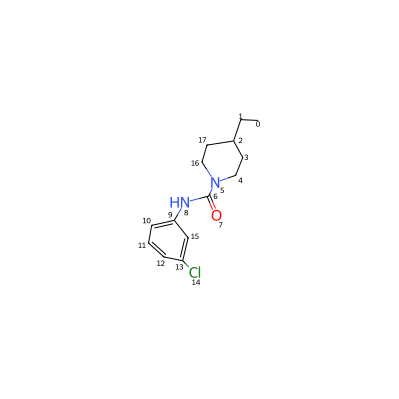 CCC1CCN(C(=O)Nc2cccc(Cl)c2)CC1